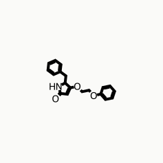 O=C1C=C(OCCOc2ccccc2)C(Cc2ccccc2)N1